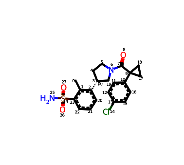 Cc1c([C@@H]2CCN(C(=O)C3(c4ccc(Cl)cc4)CC3)C2)cccc1S(N)(=O)=O